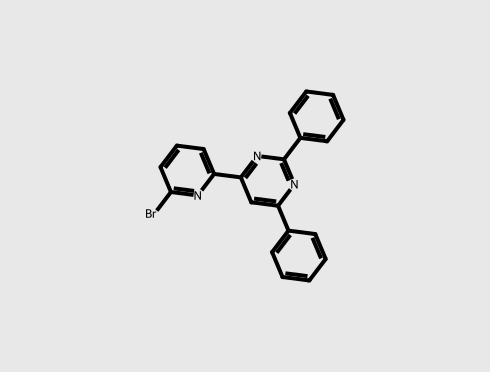 Brc1cccc(-c2cc(-c3ccccc3)nc(-c3ccccc3)n2)n1